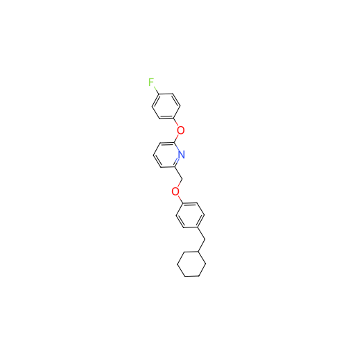 Fc1ccc(Oc2cccc(COc3ccc(CC4CCCCC4)cc3)n2)cc1